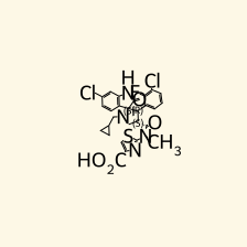 CN(C(=O)[C@@H]1CN(CC2CC2)[C@@]2(C(=O)Nc3cc(Cl)ccc32)[C@H]1c1cccc(Cl)c1F)c1nc(C(=O)O)cs1